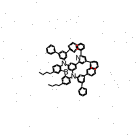 CCCCc1ccc2c(c1)B1c3cc(CCCC)ccc3N(c3cc(-c4ccccc4)cc(-c4ccccc4)c3)c3cc(-c4cc(-c5ccccc5)cc(-c5ccccc5)n4)cc(c31)N2c1cc(-c2ccccc2)cc(-c2ccccc2)c1